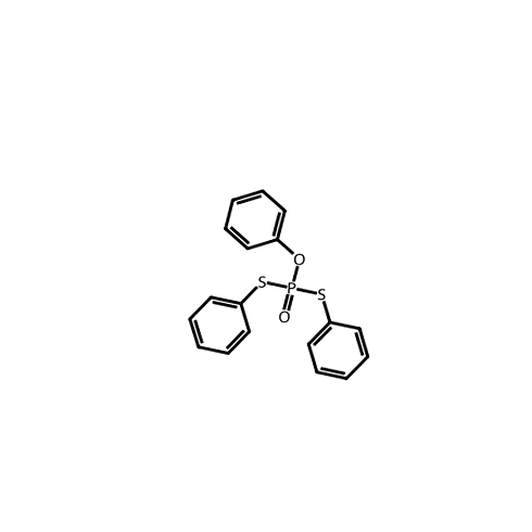 O=P(Oc1ccccc1)(Sc1ccccc1)Sc1ccccc1